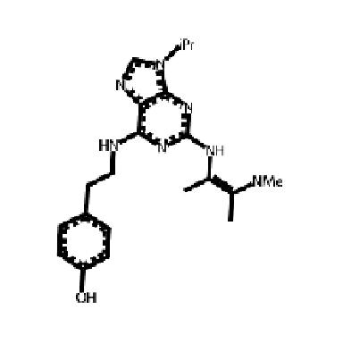 CN/C(C)=C(/C)Nc1nc(NCCc2ccc(O)cc2)c2ncn(C(C)C)c2n1